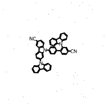 N#Cc1ccc(-c2ccc(-n3c4ccc(C#N)cc4c4ccc(-n5c6ccccc6c6ccccc65)cc43)cc2)c(-n2c3ccccc3c3ccccc32)c1